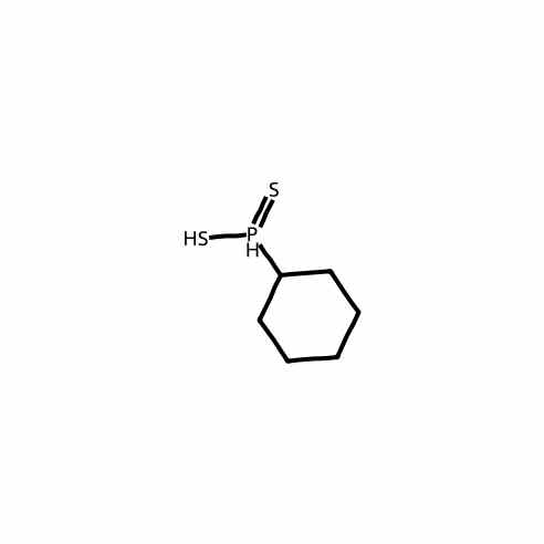 S=[PH](S)C1CCCCC1